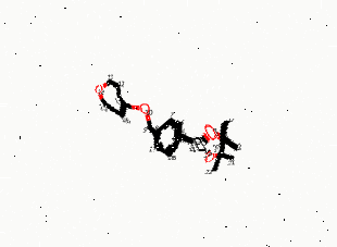 CC1(C)OB(c2ccc(COC3CCOCC3)cc2)OC1(C)C